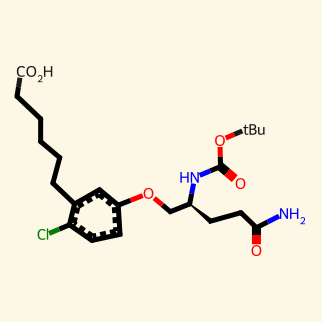 CC(C)(C)OC(=O)N[C@@H](CCC(N)=O)COc1ccc(Cl)c(CCCCCC(=O)O)c1